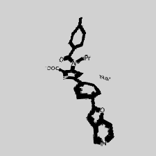 CC1CCC(C(=O)N(c2cc(-c3ccc(-c4cc5cnccc5o4)cc3)sc2C(=O)[O-])C(C)C)CC1.[Na+]